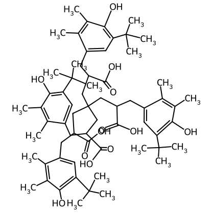 Cc1c(CC(CC(CC(Cc2cc(C(C)(C)C)c(O)c(C)c2C)C(=O)O)(CC(Cc2cc(C(C)(C)C)c(O)c(C)c2C)C(=O)O)CC(Cc2cc(C(C)(C)C)c(O)c(C)c2C)C(=O)O)C(=O)O)cc(C(C)(C)C)c(O)c1C